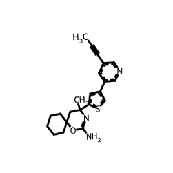 CC#Cc1cncc(-c2csc(C3(C)CC4(CCCCC4)OC(N)=N3)c2)c1